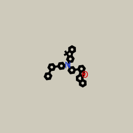 CC1(C)c2ccccc2-c2ccc(N(c3ccc(-c4cccc(-c5ccccc5)c4)cc3)c3cccc(-c4cccc5oc6c7ccccc7ccc6c45)c3)cc21